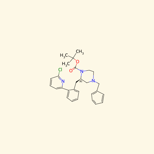 CC(C)(C)OC(=O)N1CCN(Cc2ccccc2)C[C@H]1Cc1ccccc1-c1cccc(Cl)n1